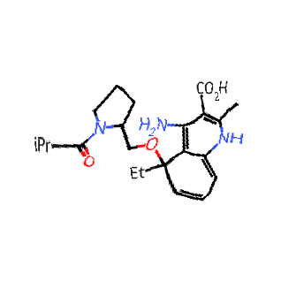 CCC1(OCC2CCCN2C(=O)C(C)C)C=CC=C2NC(C)=C(C(=O)O)C(N)=C21